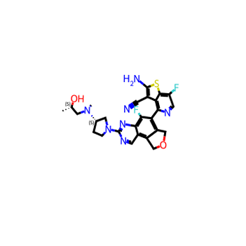 C[C@H](O)CN(C)[C@H]1CCN(c2ncc3c4c(c(-c5ncc(F)c6sc(N)c(C#N)c56)c(F)c3n2)COC4)C1